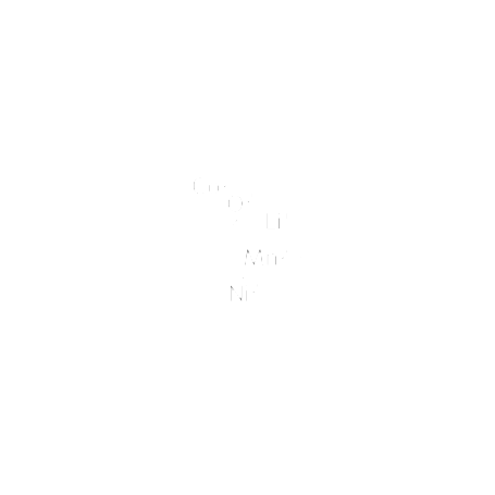 [Co+2].[Li+].[Mn+2].[Ni+2].[O-2]